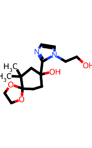 CC1(C)CC(O)(c2nccn2CCO)CCC12OCCO2